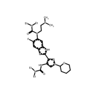 CCN(CC)C(=O)Nc1cn(C2CCCCO2)nc1-c1nc2cc(F)c(N(CCN(C)C)C(=O)N(CC)CC)cc2[nH]1